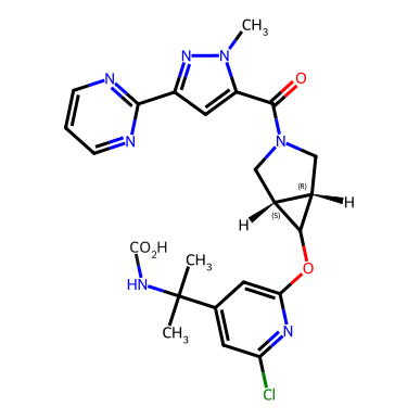 Cn1nc(-c2ncccn2)cc1C(=O)N1C[C@@H]2C(Oc3cc(C(C)(C)NC(=O)O)cc(Cl)n3)[C@@H]2C1